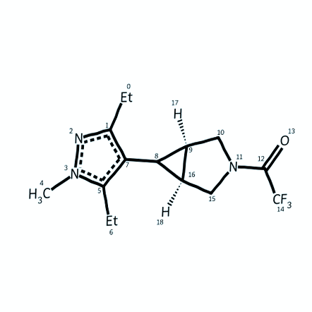 CCc1nn(C)c(CC)c1C1[C@H]2CN(C(=O)C(F)(F)F)C[C@@H]12